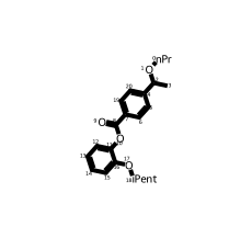 CCCOC(C)c1ccc(C(=O)Oc2ccccc2OC(C)CCC)cc1